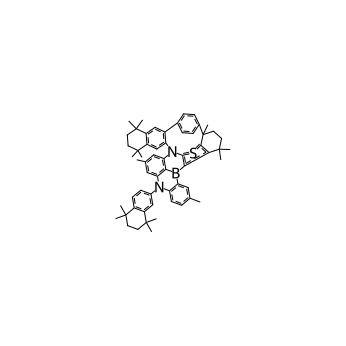 Cc1ccc2c(c1)B1c3c(cc(C)cc3N3c4cc5c(cc4-c4ccc(cc4)C4(C)CCC(C)(C)c6c4sc3c61)C(C)(C)CCC5(C)C)N2c1ccc2c(c1)C(C)(C)CCC2(C)C